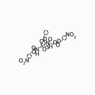 C[C@@H](OC(=O)OCc1ccc([N+](=O)[O-])cc1)[C@H]1C(=O)N2C(C(=O)OCc3ccccc3)=C(SCCNC(=O)OCc3ccc([N+](=O)[O-])cc3)C(=O)S[C@@H]12